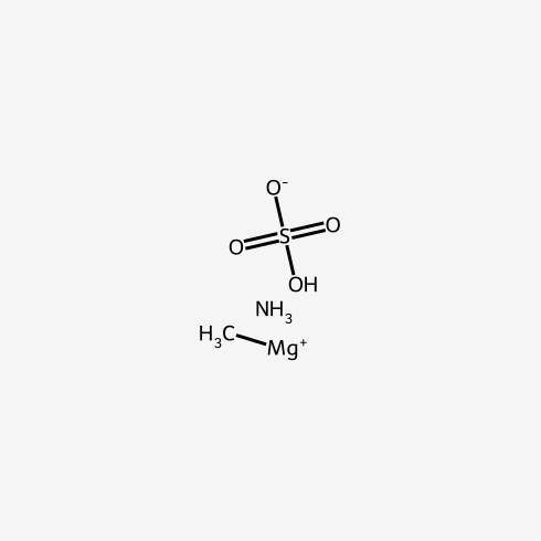 N.O=S(=O)([O-])O.[CH3][Mg+]